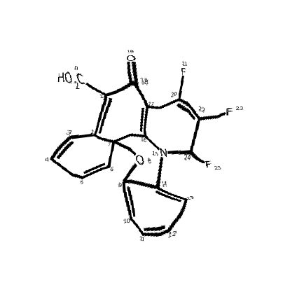 O=C(O)C1=C2C=CC=CC23Oc2ccccc2N2C3=C(C1=O)C(F)=C(F)C2F